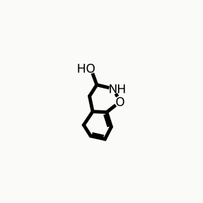 OC1CC2CC=CC=C2ON1